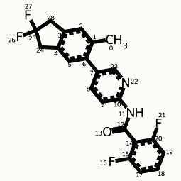 Cc1cc2c(cc1-c1ccc(NC(=O)c3c(F)cccc3F)nc1)CC(F)(F)C2